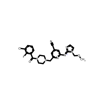 COCn1ccs/c1=N\c1cc(C#N)cc(CN2CCN(C(=O)c3cccc(Cl)c3F)CC2)n1